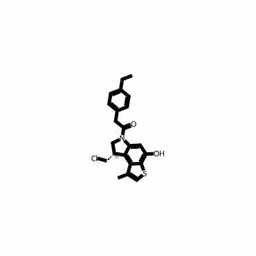 CCc1ccc(CC(=O)N2C[C@@H](CCl)c3c2cc(O)c2scc(C)c32)cc1